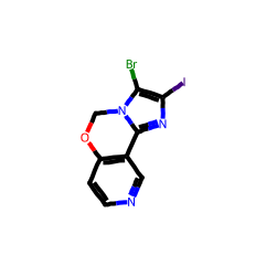 Brc1c(I)nc2n1COc1ccncc1-2